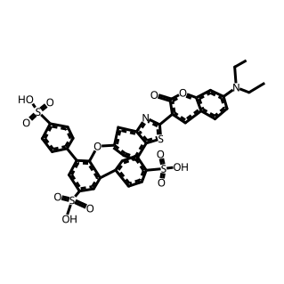 CCN(CC)c1ccc2cc(-c3nc4cc(Oc5c(-c6ccc(S(=O)(=O)O)cc6)cc(S(=O)(=O)O)cc5-c5ccc(S(=O)(=O)O)cc5)ccc4s3)c(=O)oc2c1